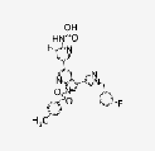 Cc1ccc(S(=O)(=O)n2cc(-c3cnn(Cc4cccc(F)c4)c3)c3cc(-c4cnc(NC(=O)O)c(F)c4)cnc32)cc1